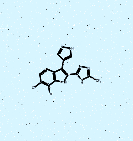 Oc1c(Cl)ccc2c(-c3cn[nH]c3)c(-c3nnc(C(F)(F)F)[nH]3)[nH]c12